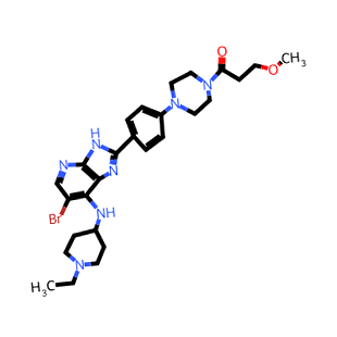 CCN1CCC(Nc2c(Br)cnc3[nH]c(-c4ccc(N5CCN(C(=O)CCOC)CC5)cc4)nc23)CC1